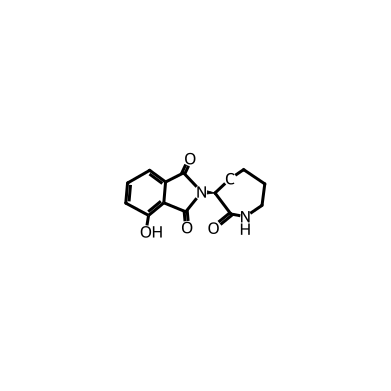 O=C1NCCCC[C@@H]1N1C(=O)c2cccc(O)c2C1=O